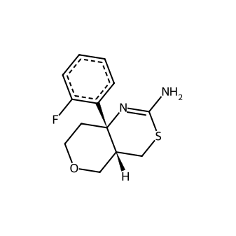 NC1=N[C@@]2(c3ccccc3F)CCOC[C@H]2CS1